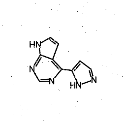 c1cc(-c2ncnc3[nH]ccc23)[nH]n1